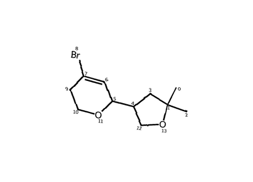 CC1(C)CC(C2C=C(Br)CCO2)CO1